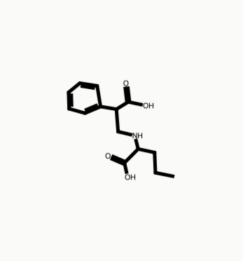 CCCC(NCC(C(=O)O)c1ccccc1)C(=O)O